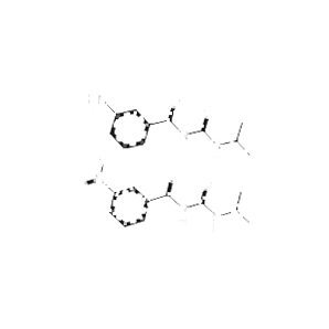 CC(C)NC(=O)NC(=O)c1cccc(N)c1.CC(C)NC(=O)NC(=O)c1cccc([N+](=O)[O-])c1